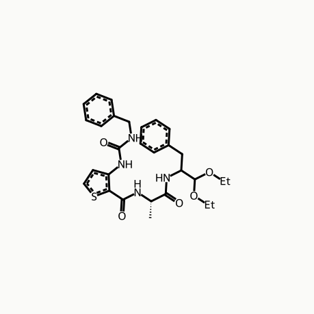 CCOC(OCC)C(Cc1ccccc1)NC(=O)[C@H](C)NC(=O)c1sccc1NC(=O)NCc1ccccc1